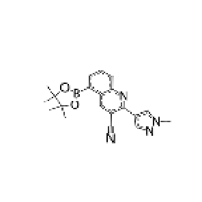 Cn1cc(-c2nc3cccc(B4OC(C)(C)C(C)(C)O4)c3cc2C#N)cn1